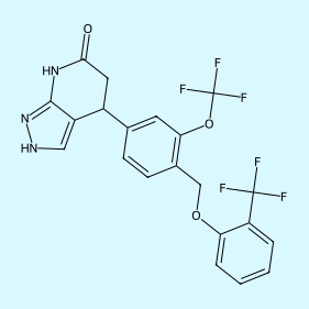 O=C1CC(c2ccc(COc3ccccc3C(F)(F)F)c(OC(F)(F)F)c2)c2c[nH]nc2N1